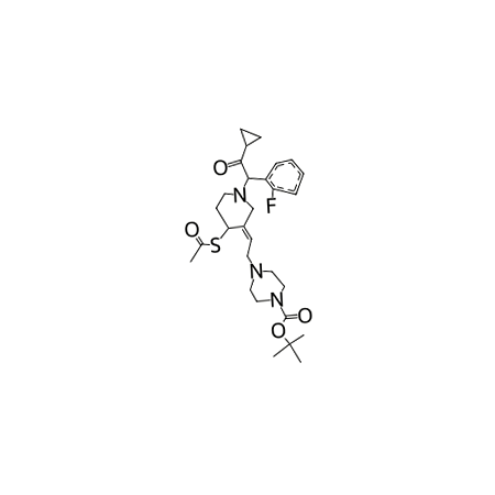 CC(=O)SC1CCN(C(C(=O)C2CC2)c2ccccc2F)CC1=CCN1CCN(C(=O)OC(C)(C)C)CC1